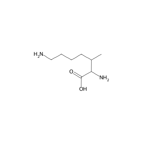 CC(CCCCN)C(N)C(=O)O